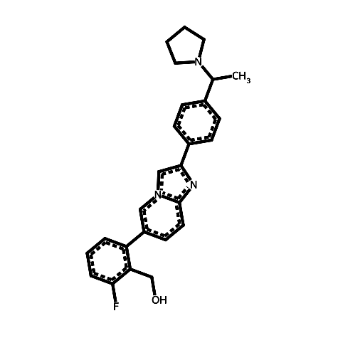 CC(c1ccc(-c2cn3cc(-c4cccc(F)c4CO)ccc3n2)cc1)N1CCCC1